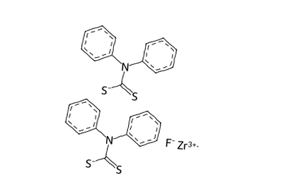 S=C([S-])N(c1ccccc1)c1ccccc1.S=C([S-])N(c1ccccc1)c1ccccc1.[F-].[Zr+3]